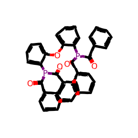 O=C(c1ccccc1)P(C(=O)c1ccccc1)c1ccccc1Oc1ccccc1P(C(=O)c1ccccc1)C(=O)c1ccccc1